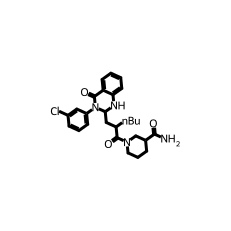 CCCCC(CC1Nc2ccccc2C(=O)N1c1cccc(Cl)c1)C(=O)N1CCCC(C(N)=O)C1